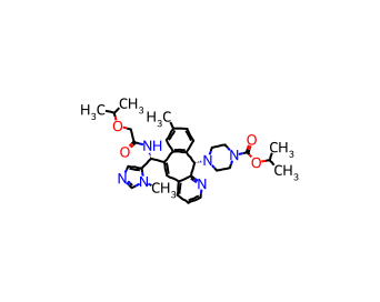 Cc1ccc2c(c1)C([C@@H](NC(=O)COC(C)C)c1cncn1C)=Cc1cccnc1[C@H]2N1CCN(C(=O)OC(C)C)CC1